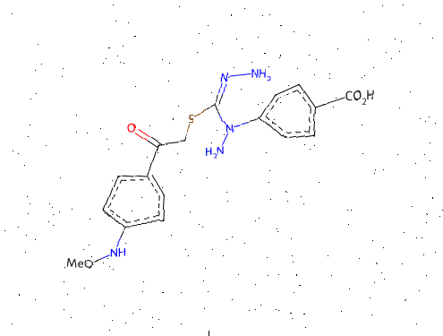 CONc1ccc(C(=O)CS/C(=N/N)N(N)c2ccc(C(=O)O)cc2)cc1